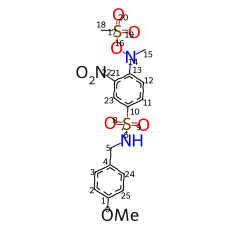 COc1ccc(CNS(=O)(=O)c2ccc(N(C)OS(C)(=O)=O)c([N+](=O)[O-])c2)cc1